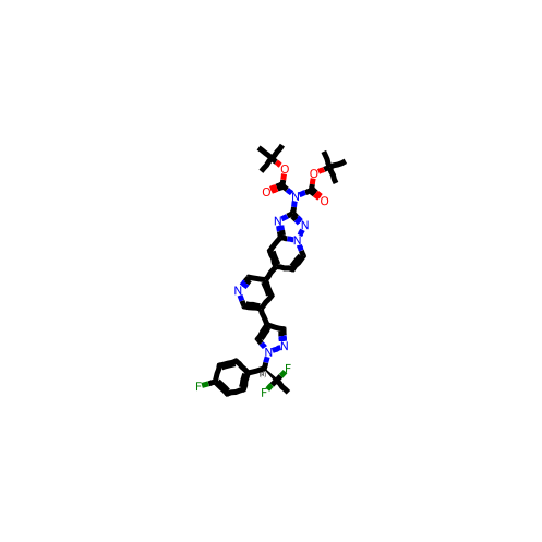 CC(C)(C)OC(=O)N(C(=O)OC(C)(C)C)c1nc2cc(-c3cncc(-c4cnn([C@H](c5ccc(F)cc5)C(C)(F)F)c4)c3)ccn2n1